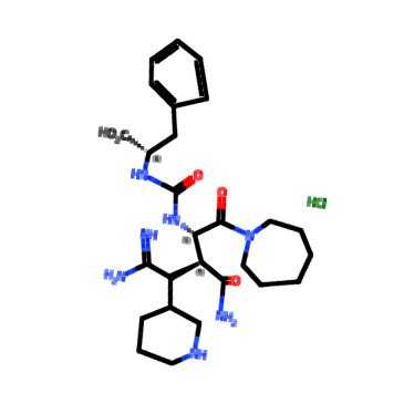 Cl.N=C(N)C(C1CCCNC1)[C@H](C(N)=O)[C@H](NC(=O)N[C@@H](Cc1ccccc1)C(=O)O)C(=O)N1CCCCCC1